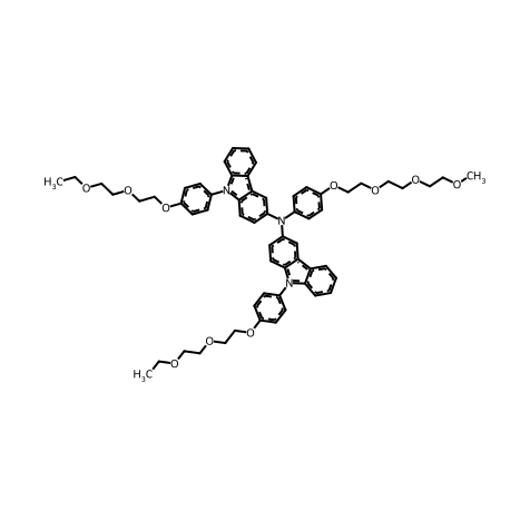 CCOCCOCCOc1ccc(-n2c3ccccc3c3cc(N(c4ccc(OCCOCCOCCOC)cc4)c4ccc5c(c4)c4ccccc4n5-c4ccc(OCCOCCOCC)cc4)ccc32)cc1